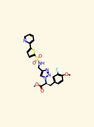 COC(=O)[C@H](Cc1ccc(OC)c(F)c1)n1cc(CNS(=O)(=O)c2ccc(-c3ccccn3)s2)nn1